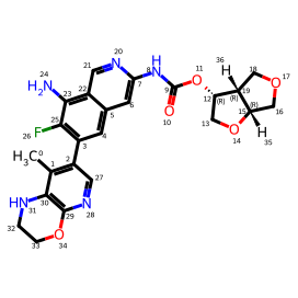 Cc1c(-c2cc3cc(NC(=O)O[C@H]4CO[C@H]5COC[C@H]54)ncc3c(N)c2F)cnc2c1NCCO2